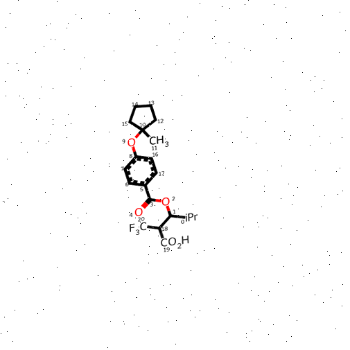 CC(C)C(OC(=O)c1ccc(OC2(C)CCCC2)cc1)C(C(=O)O)C(F)(F)F